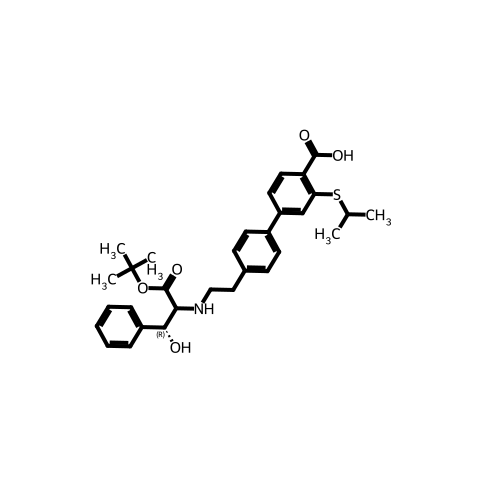 CC(C)Sc1cc(-c2ccc(CCNC(C(=O)OC(C)(C)C)[C@H](O)c3ccccc3)cc2)ccc1C(=O)O